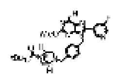 COc1nc(C)c2nc(-c3cncc(F)c3)n(Cc3ccc(CN4C[C@@H]5C[C@H]4CN5C(=O)OC(C)(C)C)cc3)c2n1